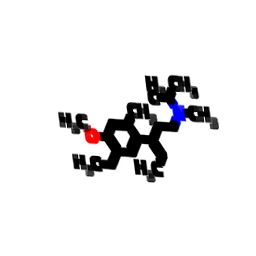 C/C=C(/CCN(C)C(C)C)c1cc(CC)c(OC)cc1C